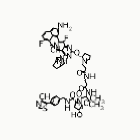 C#Cc1c(F)ccc2cc(N)cc(-c3ncc4c(N5CC6CCC(C5)N6)nc(OC[C@@H]5CCCN5CCC(=O)NCCC(=O)N[C@@H](C(=O)N5C[C@@H](O)C[C@@H]5C(=O)NCc5ccc(-c6scnc6C)cc5)C(C)(C)C)nc4c3F)c12